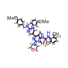 COc1ccc(CN(Cc2ccc(OC)cc2)c2ncc(-c3nc(N4CCOCC4)nc4c3CCN4C(=O)Nc3c(C)cccc3C)cn2)cc1